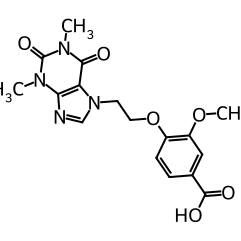 COc1cc(C(=O)O)ccc1OCCn1cnc2c1c(=O)n(C)c(=O)n2C